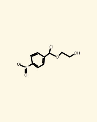 O=[N+]([O-])c1ccc(C(Cl)OCCO)cc1